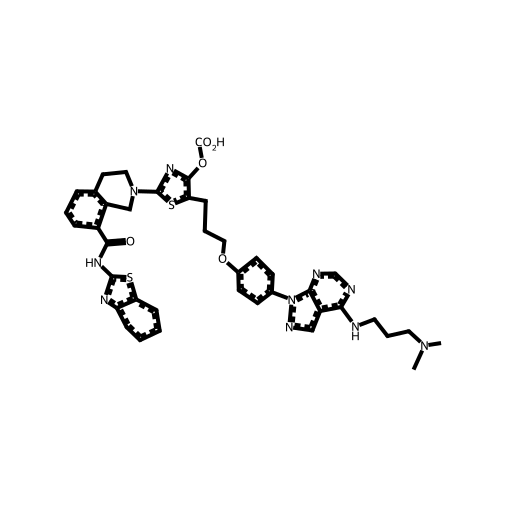 CN(C)CCCNc1ncnc2c1cnn2-c1ccc(OCCCc2sc(N3CCc4cccc(C(=O)Nc5nc6ccccc6s5)c4C3)nc2OC(=O)O)cc1